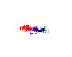 CC(C)(C)OC(=O)N(CC(=O)NCCCCC(O)(P(=O)(O)O)P(=O)(O)O)C(=O)[C@@H](N)Cc1ccc(N(CCCl)CCCl)cc1